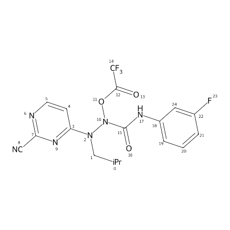 CC(C)CN(c1ccnc(C#N)n1)N(OC(=O)C(F)(F)F)C(=O)Nc1cccc(F)c1